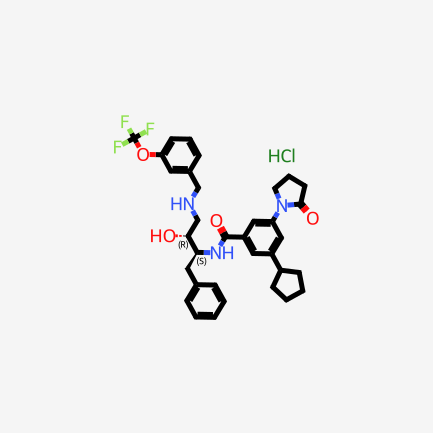 Cl.O=C(N[C@@H](Cc1ccccc1)[C@H](O)CNCc1cccc(OC(F)(F)F)c1)c1cc(C2CCCC2)cc(N2CCCC2=O)c1